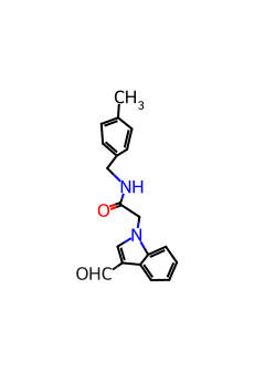 Cc1ccc(CNC(=O)Cn2cc(C=O)c3ccccc32)cc1